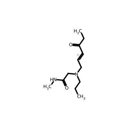 CCCN(C/C=C/C(=O)CC)CC(=O)NC